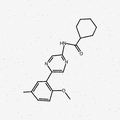 COc1ccc(C)cc1-c1cnc(NC(=O)C2CCCCC2)cn1